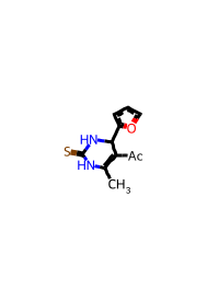 CC(=O)C1=C(C)NC(=S)NC1c1ccco1